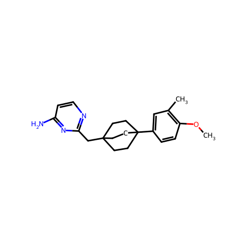 COc1ccc(C23CCC(Cc4nccc(N)n4)(CC2)CC3)cc1C